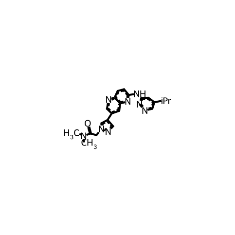 CC(C)c1cnnc(Nc2ccc3ncc(-c4cnn(CC(=O)N(C)C)c4)cc3n2)c1